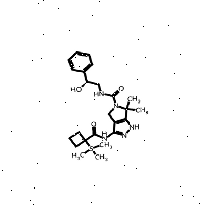 CC1(C)c2[nH]nc(NC(=O)C3(S(C)(C)C)CCC3)c2CN1C(=O)NC[C@@H](O)c1ccccc1